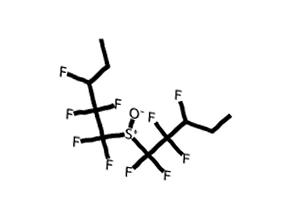 CCC(F)C(F)(F)C(F)(F)[S+]([O-])C(F)(F)C(F)(F)C(F)CC